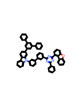 c1ccc(-c2cc(-c3ccccc3)cc(-c3ccc4c5ccccc5n(-c5cccc(-c6cccc(-c7nc(-c8ccccc8)nc(-c8cccc9oc%10ccccc%10c89)n7)c6)c5)c4c3)c2)cc1